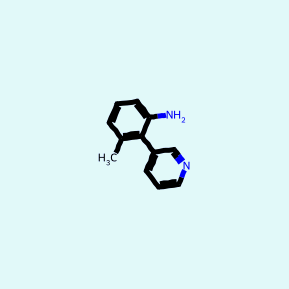 Cc1cccc(N)c1-c1cccnc1